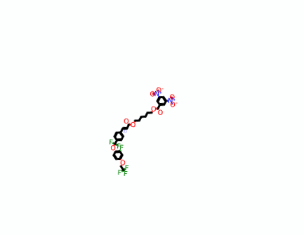 O=C(/C=C/c1ccc(C(F)(F)Oc2ccc(OCC(F)(F)F)cc2F)cc1)OCCCCCCOC(=O)c1cc([N+](=O)[O-])cc([N+](=O)[O-])c1